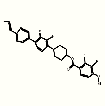 C/C=C/c1ccc(-c2ccc(C3CCC(OC(=O)c4ccc(OCC)c(F)c4F)CC3)c(F)c2F)cc1